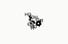 O=C1N[C@@H](c2c(O)ccc(Cl)c2Cl)CN1C[C@H](O)CO